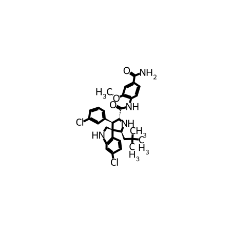 COc1cc(C(N)=O)ccc1NC(=O)[C@@H]1N[C@@H](CC(C)(C)C)[C@@]2(CNc3cc(Cl)ccc32)[C@H]1c1cccc(Cl)c1